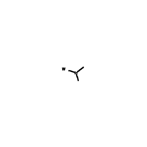 [CH3][In]([CH3])[CH3].[W]